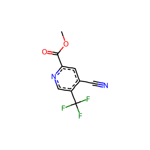 COC(=O)c1cc(C#N)c(C(F)(F)F)cn1